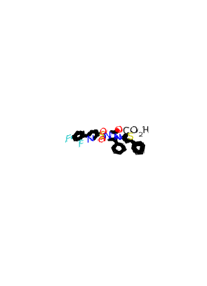 O=C(O)c1sc(-c2ccccc2)cc1N1C(=O)CN(S(=O)(=O)c2ccc(-c3ccc(F)cc3F)nc2)CC1C1CCCCC1